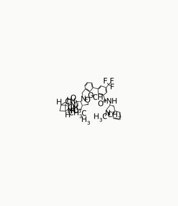 COc1c(CN2OC[C@@H]([C@H](C)O)[C@H]2C(=O)N[C@H]2C[C@H]3C[C@@H]([C@@H]2C)C3(C)C)cccc1-c1cc(C(=O)N[C@@H](Cc2ccccc2)CN(C)C)cc(C(F)(F)F)c1